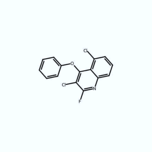 Fc1nc2cccc(Cl)c2c(Oc2ccccc2)c1Cl